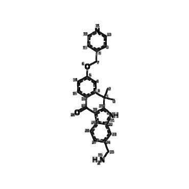 CC1(C)c2cc(OCc3ccncc3)ccc2C(=O)c2c1[nH]c1cc(CN)ccc21